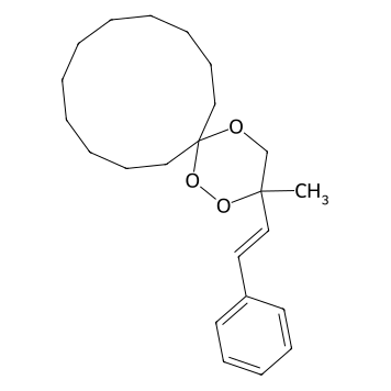 CC1(C=Cc2ccccc2)COC2(CCCCCCCCCCC2)OO1